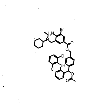 CCN(Cc1cc(C(=O)OCc2ccc(C(OC(C)=O)c3ccccc3Nc3c(Cl)cccc3Cl)cc2)cc(Br)c1N)C1CCCCC1